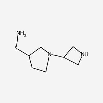 NSC1CCN(C2CNC2)C1